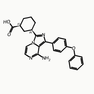 Nc1nccn2c([C@@H]3CCC[C@H](C(=O)O)C3)nc(-c3ccc(Oc4ccccc4)cc3)c12